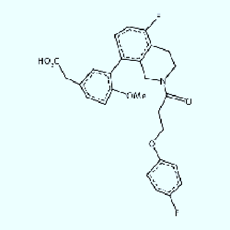 COc1ccc(CC(=O)O)cc1-c1ccc(F)c2c1CN(C(=O)CCOc1ccc(F)cc1)CC2